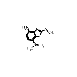 COc1nc2c(N)ccc(N(C)C)c2s1